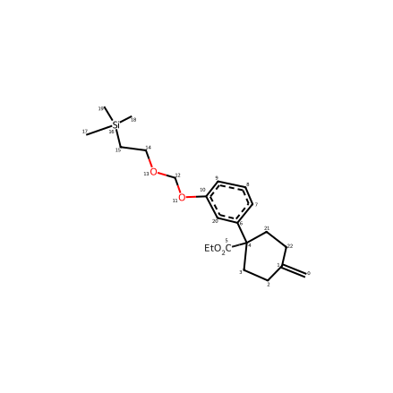 C=C1CCC(C(=O)OCC)(c2cccc(OCOCC[Si](C)(C)C)c2)CC1